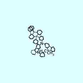 CC1(C)c2ccccc2-c2ccc(N(c3cccc(C4(c5ccccc5)c5ccccc5C5(c6ccccc6)c6ccccc6-c6cccc4c65)c3)c3ccc4c5c(n(-c6ccccc6)c4c3)C=CCC5)cc21